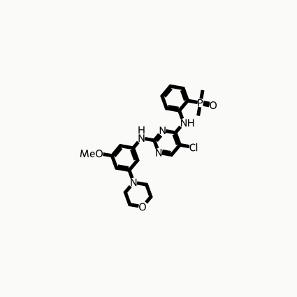 COc1cc(Nc2ncc(Cl)c(Nc3ccccc3P(C)(C)=O)n2)cc(N2CCOCC2)c1